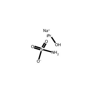 CC(C)O.NS(=O)(=O)[O-].[Na+]